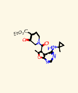 CCOC(=O)C1CCN(C(=O)c2c(C)oc3ncnc(NC4(C)CC4)c23)CC1=O